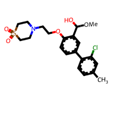 COC(O)c1cc(-c2ccc(C)cc2Cl)ccc1OCCN1CCS(=O)(=O)CC1